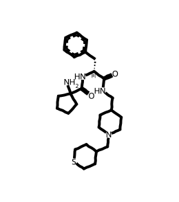 NC1(C(=O)N[C@H](Cc2ccccc2)C(=O)NCC2CCN(CC3CCSCC3)CC2)CCCC1